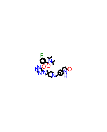 CC(C)N(C(=O)c1cc(F)ccc1Oc1nncnc1N1CC2(CCN(CC3CC4CCC3CC43CCC(=O)N3)CC2)C1)C(C)C